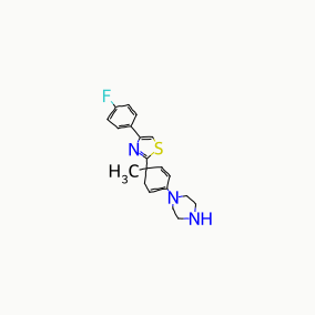 CC1(c2nc(-c3ccc(F)cc3)cs2)C=CC(N2CCNCC2)=CC1